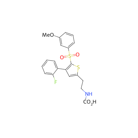 COc1cccc(S(=O)(=O)c2sc(CCNC(=O)O)cc2-c2ccccc2F)c1